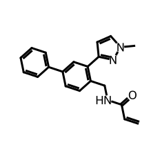 C=CC(=O)NCc1ccc(-c2ccccc2)cc1-c1ccn(C)n1